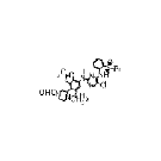 Cc1cc(Nc2ncc(Cl)c(Nc3ccccc3S(=O)(=O)C(C)C)n2)c2c(c1C1CN(C=O)CCN1C)CC(C)O2